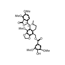 COc1cc(C(=O)OCc2c3c(c(OC)c4c2OCO4)[C@H]([C@H]2OC(=O)c4c2ccc(OC)c4OC)N(C)CC3)cc(OC)c1O